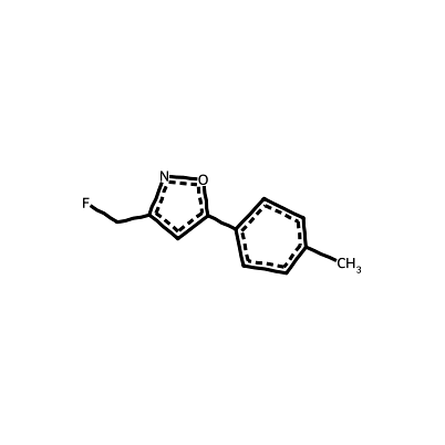 Cc1ccc(-c2cc(CF)no2)cc1